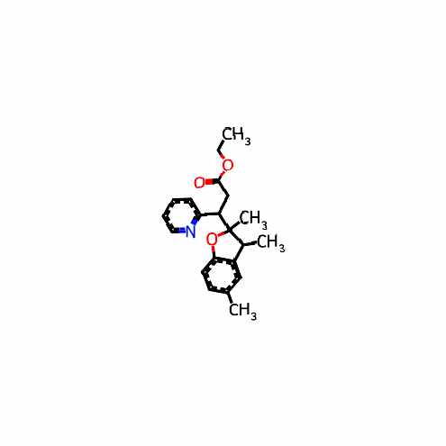 CCOC(=O)CC(c1ccccn1)C1(C)Oc2ccc(C)cc2C1C